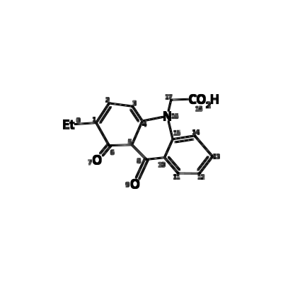 CCC1=CC=C2C(C1=O)C(=O)c1ccccc1N2CC(=O)O